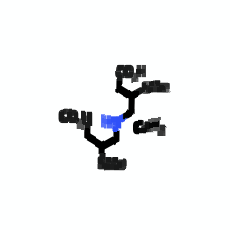 CSC(CNCC(CC(=O)O)SC)CC(=O)O.[CaH2]